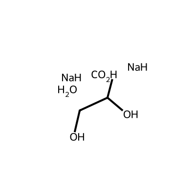 O.O=C(O)C(O)CO.[NaH].[NaH]